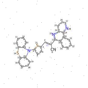 N#C/C(=C\c1ccc(N2c3ccccc3Sc3ccccc32)s1)c1nc2cccnc2c2ccccc12